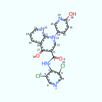 O=C(Nc1c(Cl)cncc1Cl)c1cn(-c2ccc(O)nc2)c2ncccc2c1=O